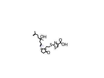 C=C(C)CC[C@](C)(O)C/C=C/[C@H]1CCC(=O)[C@@H]1CCSc1nc(C(=O)O)cs1